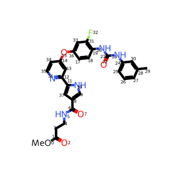 COC(=O)CCNC(=O)c1c[nH]c(-c2cc(Oc3ccc(NC(=O)Nc4cccc(C)c4)c(F)c3)ccn2)c1